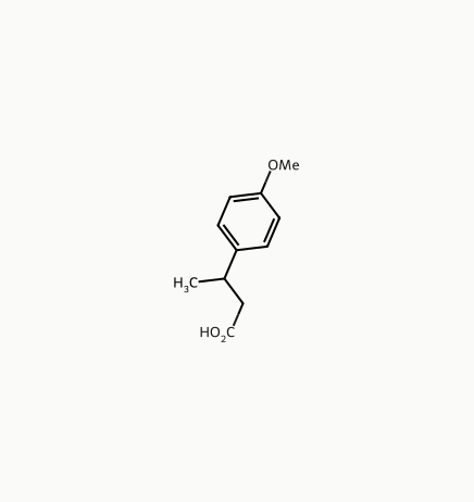 COc1ccc(C(C)CC(=O)O)cc1